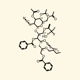 C=C(O[C@H](O)[C@H](O[C@H]1O[C@H](COC(C)=O)[C@@H](OC(C)=O)C(OC(C)=O)C1N=[N+]=[N-])C(OC(=O)c1ccccc1)[C@@H](C[C@H](COC(=O)c1ccccc1)OCCCC)OB=BP)C(F)(F)F